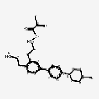 C=C(C)C(=O)ONCCc1cc(-c2ccc(C3CCC(C)CC3)cc2)ccc1CCO